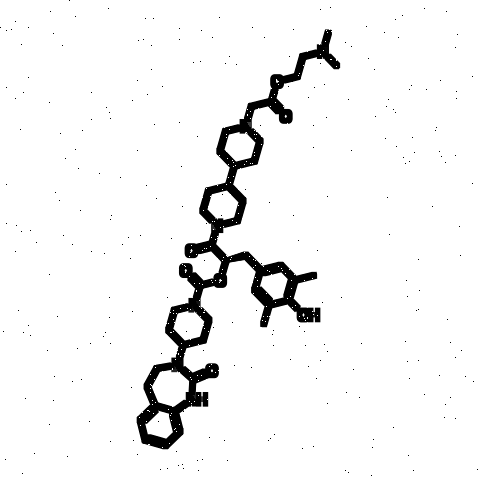 Cc1cc(C[C@@H](OC(=O)N2CCC(N3CCc4ccccc4NC3=O)CC2)C(=O)N2CCC(C3CCN(CC(=O)OCCN(C)C)CC3)CC2)cc(C)c1O